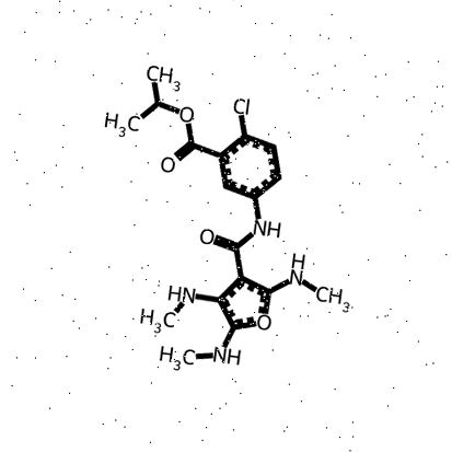 CNc1oc(NC)c(C(=O)Nc2ccc(Cl)c(C(=O)OC(C)C)c2)c1NC